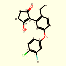 CCc1ccc(Oc2ccc(Cl)c(F)c2)cc1C1=C(O)CCC1=O